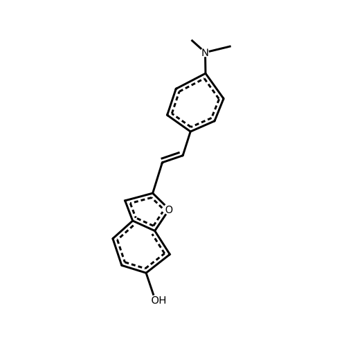 CN(C)c1ccc(C=Cc2cc3ccc(O)cc3o2)cc1